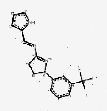 FC(F)(F)c1cccc(N2CCC(/N=C/c3ccc[nH]3)=N2)c1